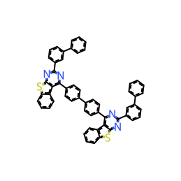 c1ccc(-c2cccc(-c3nc(-c4ccc(-c5ccc(-c6nc(-c7cccc(-c8ccccc8)c7)nc7sc8ccccc8c67)cc5)cc4)c4c(n3)sc3ccccc34)c2)cc1